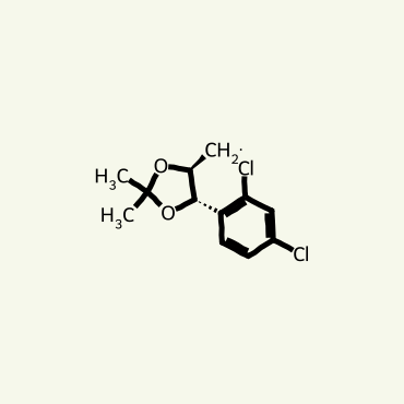 [CH2][C@@H]1OC(C)(C)O[C@H]1c1ccc(Cl)cc1Cl